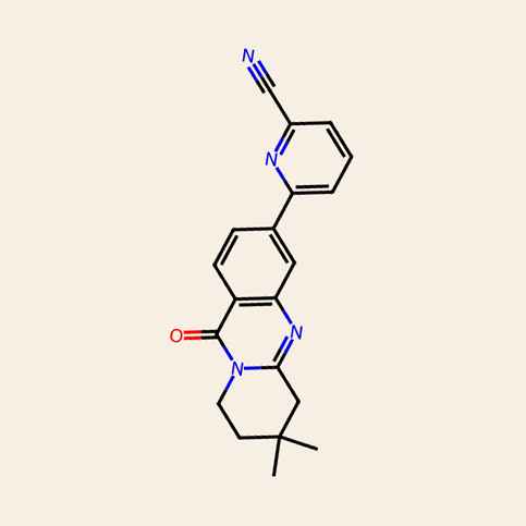 CC1(C)CCn2c(nc3cc(-c4cccc(C#N)n4)ccc3c2=O)C1